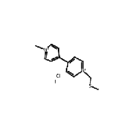 CSC[n+]1ccc(-c2cc[n+](C)cc2)cc1.[Cl-].[I-]